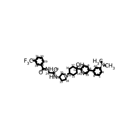 CN(C)c1cccc(-c2ccc(C3(O)CCC(N4CC[C@@H](NC(=O)CNC(=O)c5cccc(C(F)(F)F)c5)C4)CC3)nc2)c1